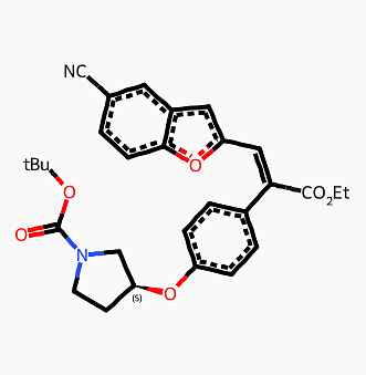 CCOC(=O)C(=Cc1cc2cc(C#N)ccc2o1)c1ccc(O[C@H]2CCN(C(=O)OC(C)(C)C)C2)cc1